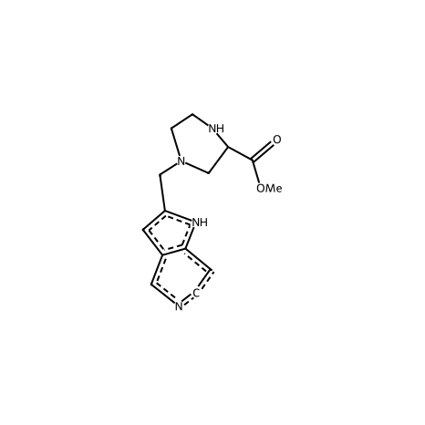 COC(=O)C1CN(Cc2cc3cnccc3[nH]2)CCN1